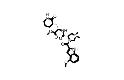 COC(=O)[C@H](C[C@@H]1CCCNC1=O)NC(=O)[C@@H]1CS(C)(C)CN1C(=O)c1cc2c(OC)cccc2[nH]1